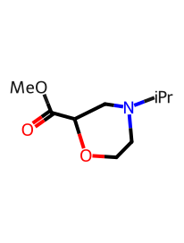 COC(=O)C1CN(C(C)C)CCO1